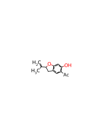 C=C(C)C1Cc2cc(C(C)=O)c(O)cc2O1